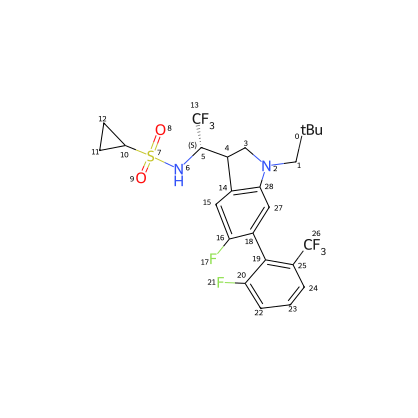 CC(C)(C)CN1CC([C@H](NS(=O)(=O)C2CC2)C(F)(F)F)c2cc(F)c(-c3c(F)cccc3C(F)(F)F)cc21